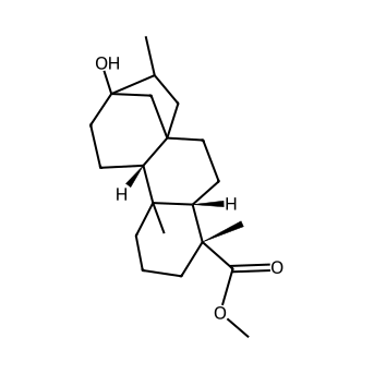 COC(=O)[C@]1(C)CCCC2(C)[C@@H]3CCC4(O)CC3(CC[C@@H]21)CC4C